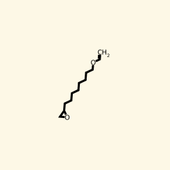 C=COCCCCCCCCC1CO1